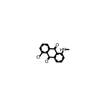 CNc1cccc2c1C(=O)c1cccc(Cl)c1C2=O